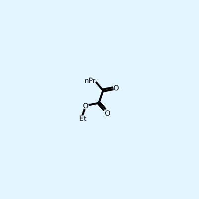 [CH2]CCC(=O)C(=O)OCC